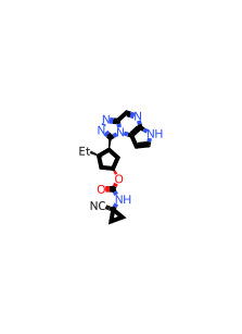 CC[C@@H]1C[C@H](OC(=O)NC2(C#N)CC2)C[C@@H]1c1nnc2cnc3[nH]ccc3n12